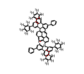 [2H]c1c([2H])c([2H])c(-c2cc(-c3c([2H])c([2H])c([2H])c([2H])c3[2H])cc(C(c3c(F)cc(-c4ccccc4)cc3-c3ccccc3)c3ccc4ccc5c(N(c6cc(-c7c([2H])c([2H])c([2H])c([2H])c7[2H])cc(-c7c([2H])c([2H])c([2H])c([2H])c7[2H])c6)c6c(F)cc(-c7ccccc7)cc6-c6ccccc6)ccc6ccc3c4c65)c2)c([2H])c1[2H]